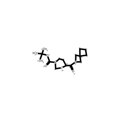 CC(C)(C)OC(=O)N1CCC(C(=O)N2CC3(CCC3)C2)CC1